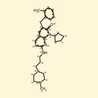 Cc1ccccc1Cc1cc2cnc(NCCCN3CCN(C)CC3)nc2n(C2CCCC2)c1=O